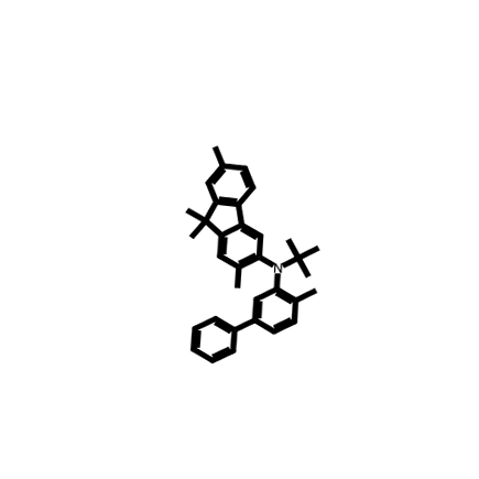 Cc1ccc2c(c1)C(C)(C)c1cc(C)c(N(c3cc(-c4ccccc4)ccc3C)C(C)(C)C)cc1-2